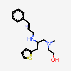 CN(CCO)CC(Cc1cccs1)NC/C=C/c1ccccc1